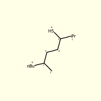 CCCCC(C)CCC(S)C(C)C